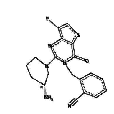 N#Cc1ccccc1Cn1c(N2CCC[C@@H](N)C2)nc2c(F)csc2c1=O